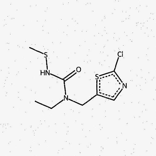 CCN(Cc1cnc(Cl)s1)C(=O)NSC